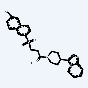 Cl.O=C(CCS(=O)(=O)c1ccc2cc(Cl)ccc2c1)N1CCC(c2cnc3ccccn23)CC1